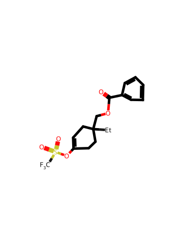 CCC1(COC(=O)c2ccccc2)CC=C(OS(=O)(=O)C(F)(F)F)CC1